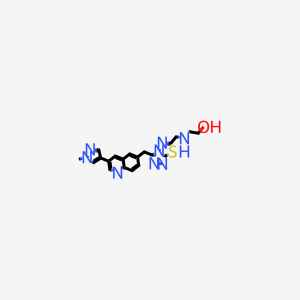 Cn1cc(-c2cnc3ccc(Cc4nnc5sc(CNCCO)nn45)cc3c2)cn1